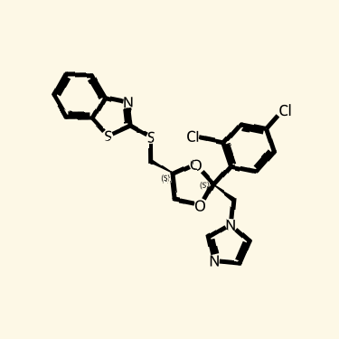 Clc1ccc([C@]2(Cn3ccnc3)OC[C@@H](CSc3nc4ccccc4s3)O2)c(Cl)c1